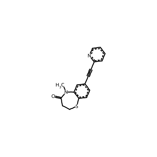 CN1C(=O)CCSc2ccc(C#Cc3ccccn3)cc21